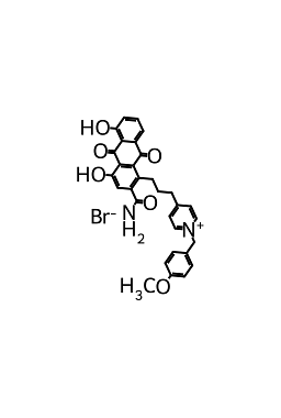 COc1ccc(C[n+]2ccc(CCCc3c(C(N)=O)cc(O)c4c3C(=O)c3cccc(O)c3C4=O)cc2)cc1.[Br-]